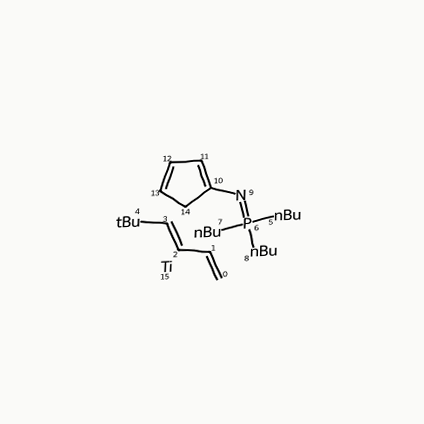 C=CC=CC(C)(C)C.CCCCP(CCCC)(CCCC)=NC1=CC=CC1.[Ti]